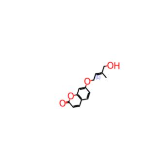 C/C(=C\COc1ccc2ccc(=O)oc2c1)CO